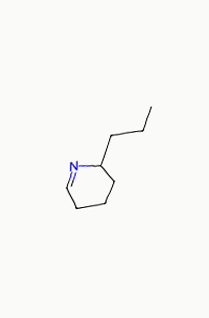 CCCC1CCCC=N1